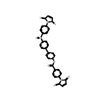 O=C(Oc1ccc(-c2cc[c]([Co](=[O])[c]3ccc(N4C(=O)C=CC4=O)cc3)cc2)cc1)c1ccc(N2C(=O)C=CC2=O)cc1